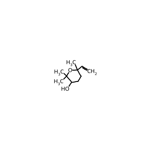 C=CC1(C)CCC(O)C(C)(C)O1